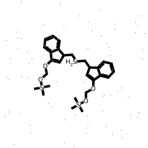 C[Si](C)(C)OCOC1=CC(C[SiH2]CC2C=C(OCO[Si](C)(C)C)c3ccccc32)c2ccccc21